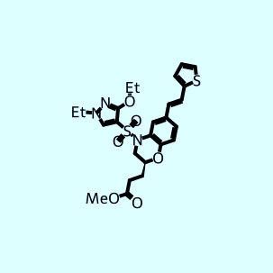 CCOc1nn(CC)cc1S(=O)(=O)N1C[C@H](CCC(=O)OC)Oc2ccc(/C=C/c3cccs3)cc21